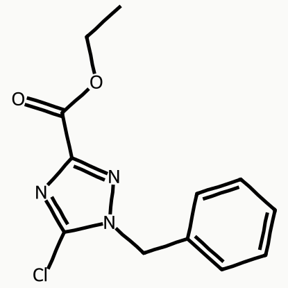 CCOC(=O)c1nc(Cl)n(Cc2ccccc2)n1